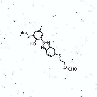 CCCCSc1cc(C)cc(-n2nc3ccc(SCCOC=O)cc3n2)c1O